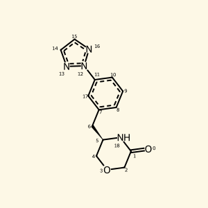 O=C1COC[C@@H](Cc2cccc(-n3nccn3)c2)N1